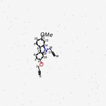 C#CCOc1ccc2c3ccc(OC)cc3n(CC#C)c2c1